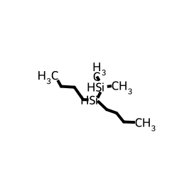 CCCC[SiH](CCCC)[SiH](C)C